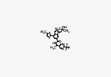 Cc1cnc(-c2cc(C(=O)N[C@H](C)c3cnc(C(F)(F)F)nc3)cc3c2cnn3CC(C)(C)O)s1